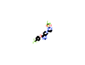 O=S(=O)(c1nccc(N2CCc3c(ncnc3Oc3ccc(C(F)(F)F)cc3)C2)n1)C(F)(F)F